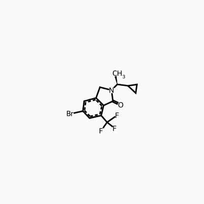 C[C@@H](C1CC1)N1Cc2cc(Br)cc(C(F)(F)F)c2C1=O